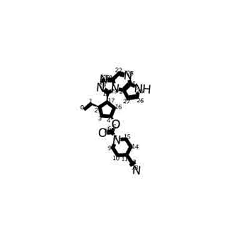 CC[C@@H]1C[C@H](OC(=O)N2CCC(C#N)CC2)C[C@@H]1c1nnc2cnc3[nH]ccc3n12